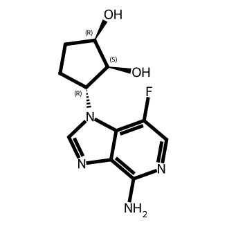 Nc1ncc(F)c2c1ncn2[C@@H]1CC[C@@H](O)[C@H]1O